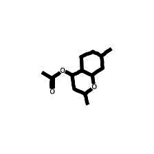 CC(=O)OC1CC(C)OC2CC(C)CCC12